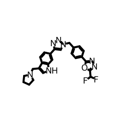 FC(F)c1nnc(-c2ccc(Cn3cc(-c4ccc5c(CN6CCCC6)c[nH]c5c4)nn3)cc2)o1